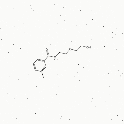 Cc1cccc(C(=O)OCCOCCO)c1